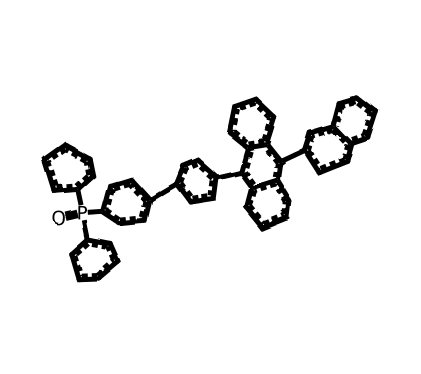 O=P(c1ccccc1)(c1ccccc1)c1ccc(-c2ccc(-c3c4ccccc4c(-c4ccc5ccccc5c4)c4ccccc34)cc2)cc1